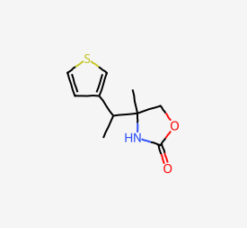 CC(c1ccsc1)C1(C)COC(=O)N1